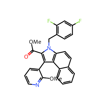 COC(=O)c1c(-c2cccnc2OC)c2c3ccccc3ccc2n1Cc1ccc(F)cc1F